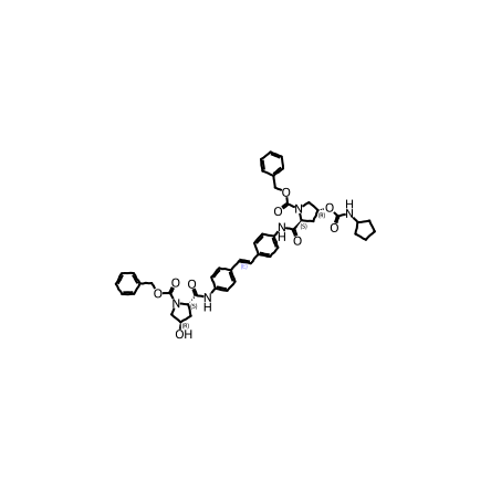 O=C(NC1CCCC1)O[C@@H]1C[C@@H](C(=O)Nc2ccc(/C=C/c3ccc(NC(=O)[C@@H]4C[C@@H](O)CN4C(=O)OCc4ccccc4)cc3)cc2)N(C(=O)OCc2ccccc2)C1